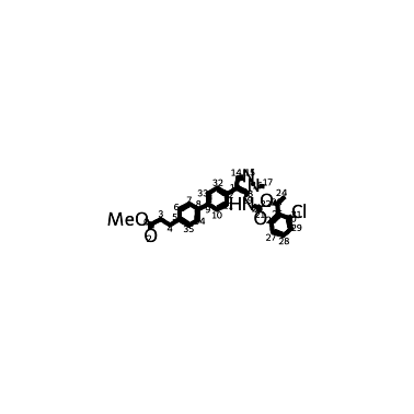 COC(=O)CCc1ccc(-c2ccc(-c3cnn(C)c3NC(=O)OC(C)c3ccccc3Cl)cc2)cc1